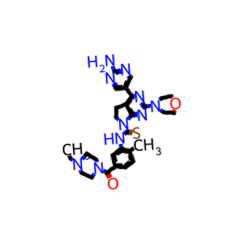 CCN1CCN(C(=O)c2ccc(C)c(NC(=S)N3CCc4c(-c5cnc(N)nc5)nc(N5CCOCC5)nc43)c2)CC1